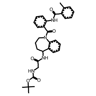 Cc1ccccc1C(=O)Nc1ccccc1C(=O)N1CCCC(NC(=O)CNC(=O)OC(C)(C)C)c2ccccc21